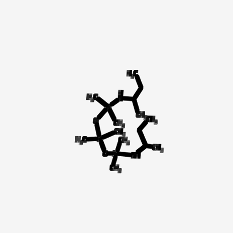 CCC(C)N[Si](C)(C)O[Si](C)(C)O[Si](C)(C)NC(C)CC